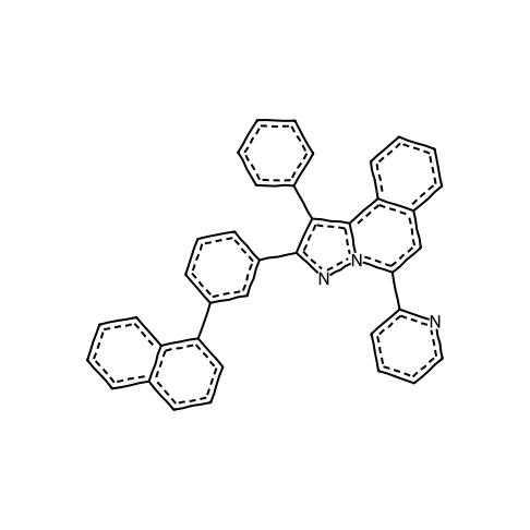 c1ccc(-c2c(-c3cccc(-c4cccc5ccccc45)c3)nn3c(-c4ccccn4)cc4ccccc4c23)cc1